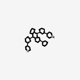 I[n+]1ccc(-c2cccc(-c3c4ccccc4c(-c4cccc(-c5ccncc5)c4)c4ccc(-c5ccccc5)cc34)c2)cc1